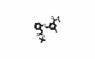 CN(C)C(=O)c1cc(Br)cc(COc2ccccc2CC(=O)OC(C)(C)C)c1